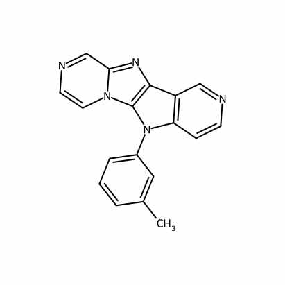 Cc1cccc(-n2c3ccncc3c3nc4cnccn4c32)c1